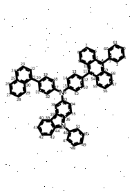 c1ccc(-c2c3ccccc3c(-c3ccc(N(c4ccc(-c5cccc6ccccc56)cc4)c4ccc5c(c4)c4ccccc4n5-c4ccccc4)cc3)c3ccccc23)cc1